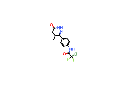 CC1CC(=O)NN=C1c1ccc(NC(=O)C(F)(F)Cl)cc1